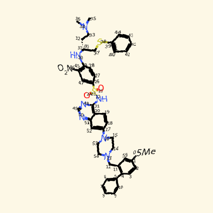 CSc1ccc(-c2ccccc2)c(CN2CCN(c3ccc4c(NS(=O)(=O)c5ccc(N[C@H](CCN(C)C)CSc6ccccc6)c([N+](=O)[O-])c5)ncnc4c3)CC2)c1